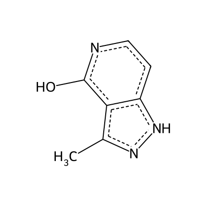 Cc1n[nH]c2ccnc(O)c12